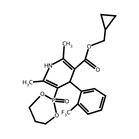 CC1=C(C(=O)OCC2CC2)C(c2ccccc2C(F)(F)F)C(P2(=O)OCCCO2)=C(C)N1